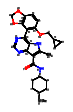 CC(=O)N[C@H]1CC[C@H](NC(=O)c2c(C)[nH]c3c(-c4c(OCC5CC5)ccc5c4OCO5)ncnc23)CC1